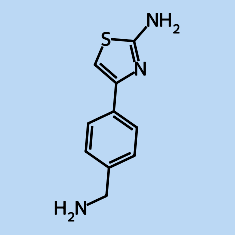 NCc1ccc(-c2csc(N)n2)cc1